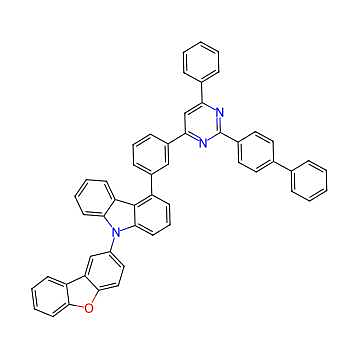 c1ccc(-c2ccc(-c3nc(-c4ccccc4)cc(-c4cccc(-c5cccc6c5c5ccccc5n6-c5ccc6oc7ccccc7c6c5)c4)n3)cc2)cc1